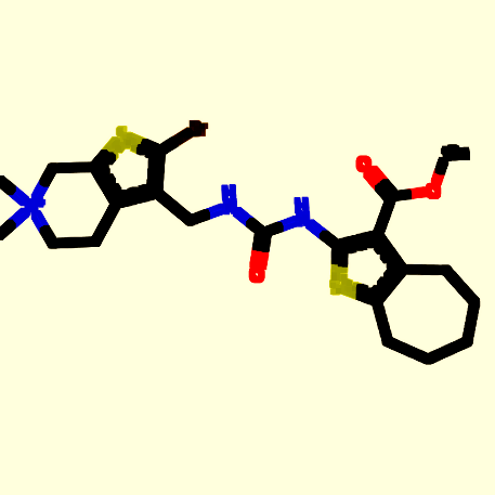 CC(C)(C)OC(=O)c1c(NC(=O)NCc2c(Br)sc3c2CC[N+](C)(C)C3)sc2c1CCCCC2